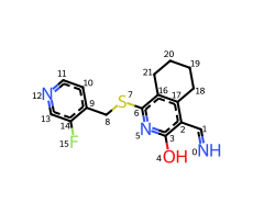 N=Cc1c(O)nc(SCc2ccncc2F)c2c1CCCC2